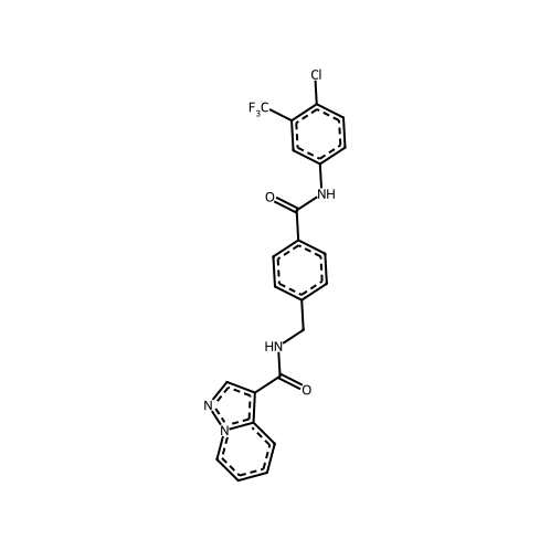 O=C(Nc1ccc(Cl)c(C(F)(F)F)c1)c1ccc(CNC(=O)c2cnn3ccccc23)cc1